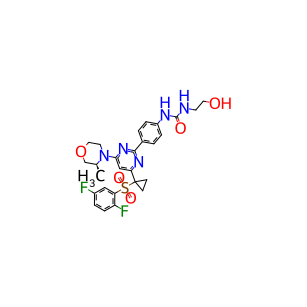 C[C@H]1COCCN1c1cc(C2(S(=O)(=O)c3cc(F)ccc3F)CC2)nc(-c2ccc(NC(=O)NCCO)cc2)n1